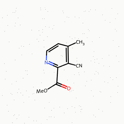 COC(=O)c1nccc(C)c1C#N